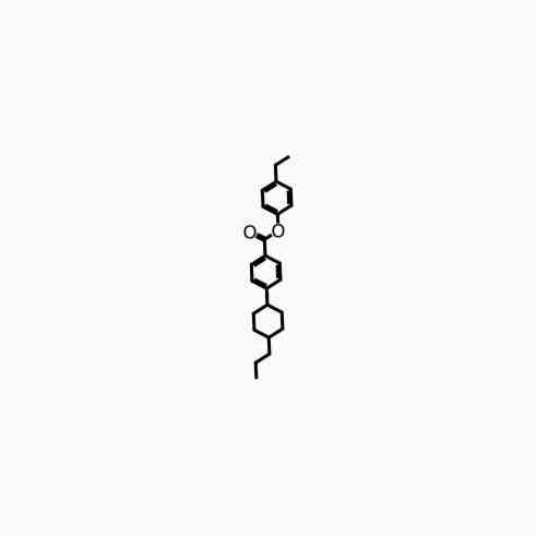 CCCC1CCC(c2ccc(C(=O)Oc3ccc(CC)cc3)cc2)CC1